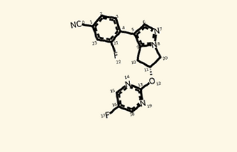 N#Cc1ccc(-c2cnn3c2C[C@@H](Oc2ncc(F)cn2)C3)c(F)c1